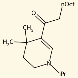 CCCCCCCCCC(=O)C1=CN(C(C)C)CCC1(C)C